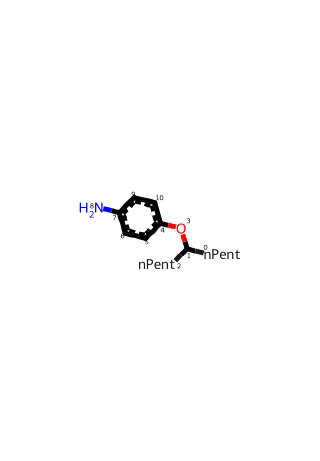 CCCCCC(CCCCC)Oc1ccc(N)cc1